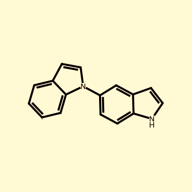 [c]1ccc2ccn(-c3ccc4[nH]ccc4c3)c2c1